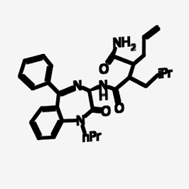 C=CCC(C(N)=O)C(CC(C)C)C(=O)N[C@@H]1N=C(c2ccccc2)c2ccccc2N(CCC)C1=O